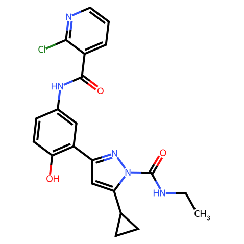 CCNC(=O)n1nc(-c2cc(NC(=O)c3cccnc3Cl)ccc2O)cc1C1CC1